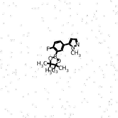 Cn1nccc1-c1ccc(F)c(B2OC(C)(C)C(C)(C)O2)c1